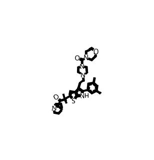 Cc1cc(C)cc(-c2[nH]c3sc(C(C)(C)C(=O)C4C5CCN4CC5)cc3c2CCN2CCN(C(=O)N3CCOCC3)CC2)c1